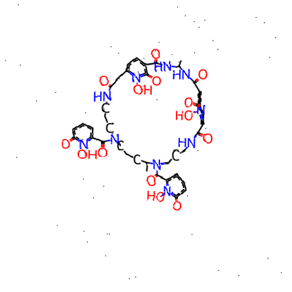 CC1NC(=O)c2ccc(n(O)c2=O)C(=O)NCCCN(C(=O)c2cccc(=O)n2O)CCCC(C)N(C(=O)c2cccc(=O)n2O)CCCNC(=O)c2ccc(c(=O)n2O)C(=O)N1